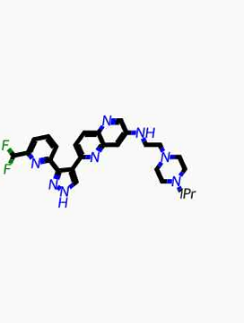 CC(C)N1CCN(CCNc2cnc3ccc(-c4c[nH]nc4-c4cccc(C(F)F)n4)nc3c2)CC1